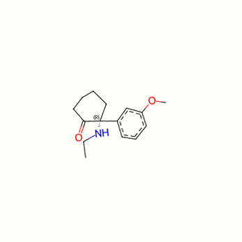 CCN[C@@]1(c2cccc(OC)c2)CCCCC1=O